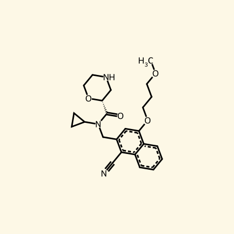 COCCCOc1cc(CN(C(=O)[C@H]2CNCCO2)C2CC2)c(C#N)c2ccccc12